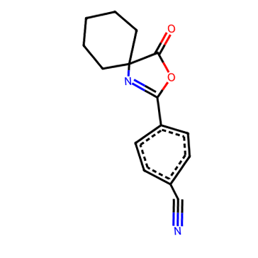 N#Cc1ccc(C2=NC3(CCCCC3)C(=O)O2)cc1